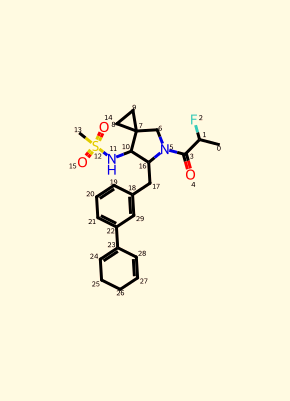 CC(F)C(=O)N1CC2(CC2)C(NS(C)(=O)=O)C1Cc1cccc(C2=CCCC=C2)c1